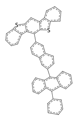 c1ccc(-c2c3ccccc3c(-c3ccc4cc(-c5c6sc7ccccc7c6cc6sc7ccccc7c56)ccc4c3)c3ccccc23)cc1